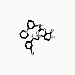 O=C(Nc1cccc(N2CCCCC2)c1)Oc1c(NC[C@@H](O)c2cccc(Cl)c2)cc[nH]c1=O